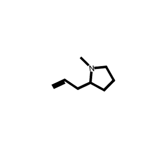 C=CCC1CCCN1C